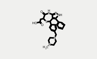 CN1CCN(Cc2ccc(C3SC(CC(=O)O)C(=O)Nc4n[nH]c(-c5ccccc5)c43)cc2)CC1